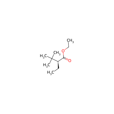 CCOC(=O)[C@@H](CC)C(C)(C)C